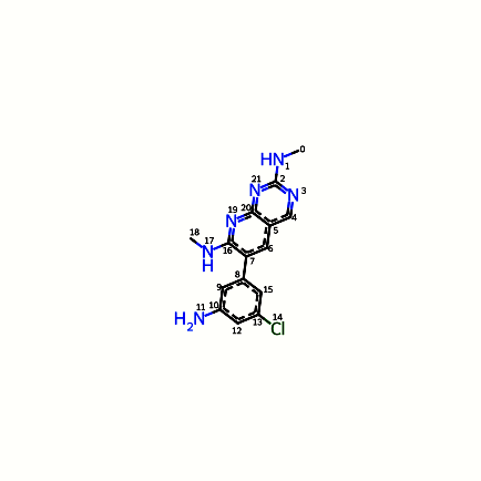 CNc1ncc2cc(-c3cc(N)cc(Cl)c3)c(NC)nc2n1